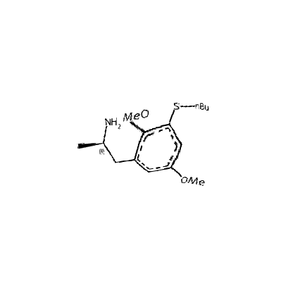 CCCCSc1cc(OC)cc(C[C@@H](C)N)c1OC